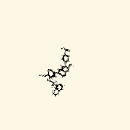 COc1ncc(-c2ccc3nc(N)c(-c4ccc(S(=O)O)cc4)cc3c2)cc1NS(=O)(=O)c1cccc2cccnc12